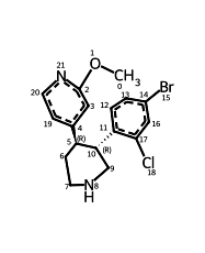 COc1cc([C@@H]2CCNC[C@H]2c2ccc(Br)cc2Cl)ccn1